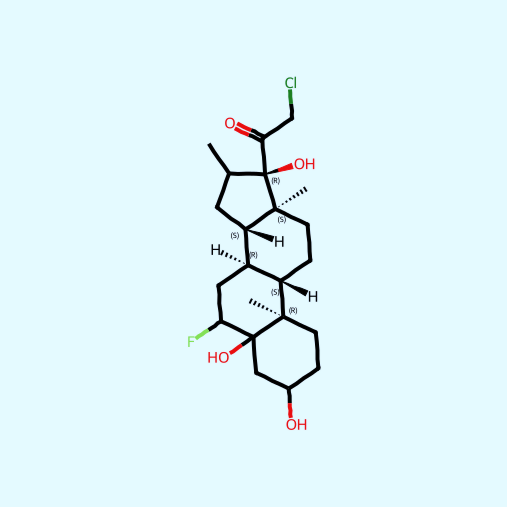 CC1C[C@H]2[C@@H]3CC(F)C4(O)CC(O)CC[C@]4(C)[C@H]3CC[C@]2(C)[C@@]1(O)C(=O)CCl